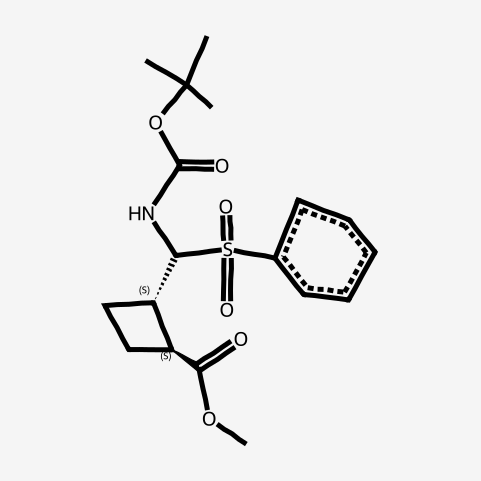 COC(=O)[C@H]1CC[C@@H]1C(NC(=O)OC(C)(C)C)S(=O)(=O)c1ccccc1